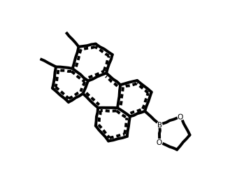 Cc1ccc2c3cccc4c(B5OCCO5)ccc(c5ccc(C)c1c25)c43